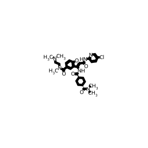 CN(C)CCN(C)C(=O)c1ccc2oc(C(=O)Nc3ccc(Cl)cn3)c(NC(=O)[C@H]3CC[C@H](C(=O)N(C)C)CC3)c2c1